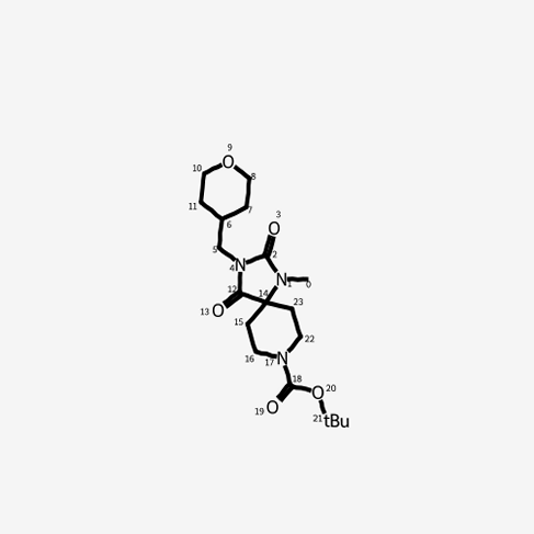 CN1C(=O)N(CC2CCOCC2)C(=O)C12CCN(C(=O)OC(C)(C)C)CC2